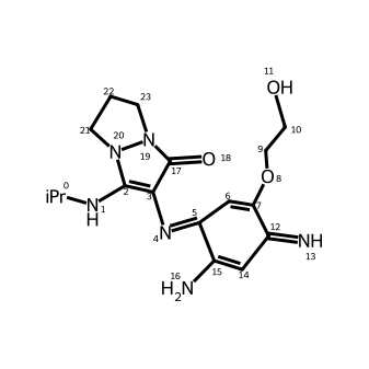 CC(C)Nc1c(N=C2C=C(OCCO)C(=N)C=C2N)c(=O)n2n1CCC2